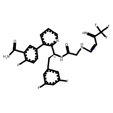 N=C(/C=C\NCC(=O)N[C@@H](Cc1cc(F)cc(F)c1)c1ncccc1-c1ccc(F)c(C(N)=O)c1)C(F)(F)F